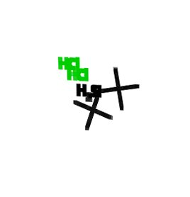 CC(C)(C)[SiH2]C(C)(C)C.Cl.Cl